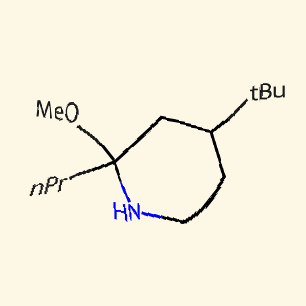 CCCC1(OC)CC(C(C)(C)C)CCN1